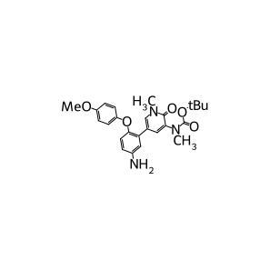 COc1ccc(Oc2ccc(N)cc2-c2cc(N(C)C(=O)OC(C)(C)C)c(=O)n(C)c2)cc1